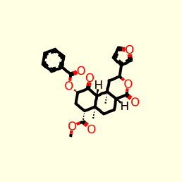 COC(=O)[C@@H]1C[C@H](OC(=O)c2ccccc2)C(=O)[C@H]2[C@@]1(C)CC[C@H]1C(=O)OC(c3ccoc3)C[C@]21C